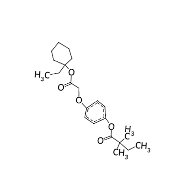 CCC1(OC(=O)COc2ccc(OC(=O)C(C)(C)CC)cc2)CCCCC1